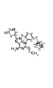 CCOc1nc(N)c2nc(C3=CN=CC(F)C3)n(Cc3ccc(CN4CCN5CCC4CC5)cc3)c2n1